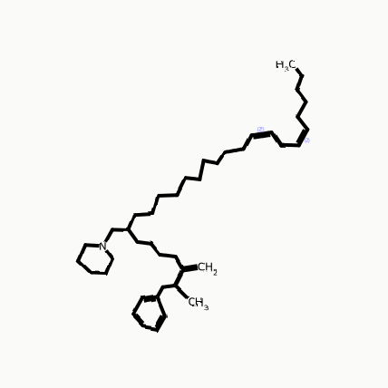 C=C(CCCCC(CCCCCCCCCC/C=C\C/C=C\CCCCC)CN1CCCCC1)C(C)Cc1ccccc1